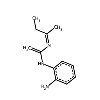 C=C(/N=C(/C)CC)Nc1ccccc1N